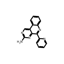 Nc1ncc2c(n1)c(-c1ccccn1)nc1ccccc12